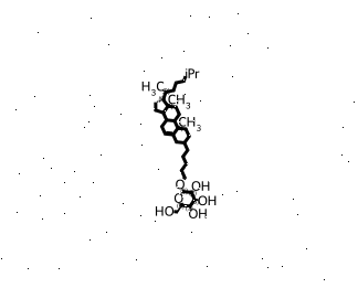 CC(C)CCC[C@@H](C)[C@H]1CCC2C3CC=C4CC(CCCCCO[C@H]5O[C@H](CO)[C@@H](O)[C@H](O)[C@H]5O)CC[C@]4(C)C3CC[C@@]21C